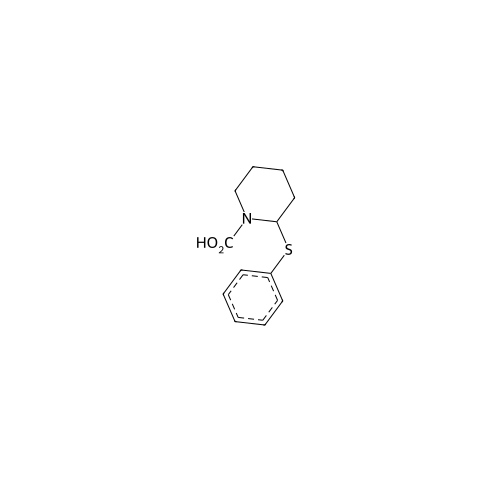 O=C(O)N1CCCCC1Sc1ccccc1